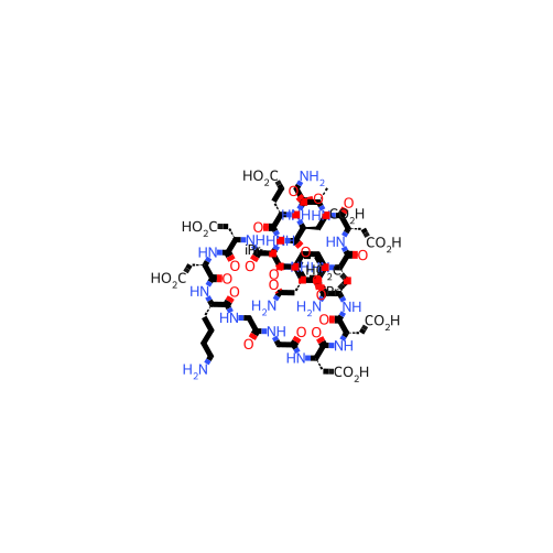 CC(C)C[C@H](NC(=O)[C@H](CC(N)=O)NC(=O)[C@@H](NC(=O)[C@H](CCC(=O)O)NC(=O)CN)C(C)C)C(=O)N[C@@H](CC(=O)O)C(=O)N[C@@H](C)C(=O)N[C@@H](CCC(=O)O)C(=O)N[C@@H](Cc1ccccc1)C(=O)N[C@@H](CC(=O)O)C(=O)N[C@@H](CC(=O)O)C(=O)N[C@@H](CCCCN)C(=O)NCC(=O)NCC(=O)N[C@@H](CC(=O)O)C(=O)N[C@@H](CC(=O)O)C(=O)N[C@@H](CC(=O)O)C(N)=O